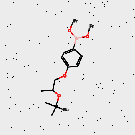 CC(C)OB(OC(C)C)c1ccc(OCC(C)O[Si](C)(C)C(C)(C)C)cc1